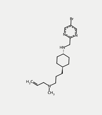 C=CCN(C)CCC[C@H]1CC[C@H](NCc2ncc(Br)cn2)CC1